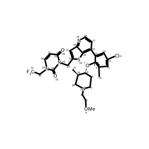 COCCN1CC[C@@H](Oc2c(C)cc(Cl)cc2-c2ccnc3cc(Cn4c(=O)ccn(CC(F)(F)F)c4=O)sc23)[C@H](C)C1